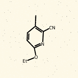 CCOc1ccc(C)c(C#N)n1